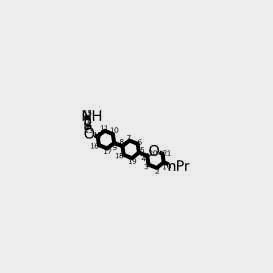 CCCC1CCC(C2CCC(C3CCC(OB=N)CC3)CC2)OC1